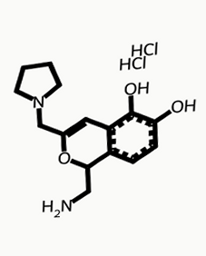 Cl.Cl.NCC1OC(CN2CCCC2)=Cc2c1ccc(O)c2O